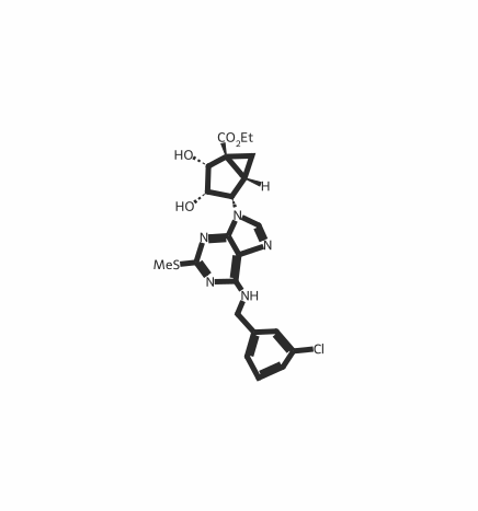 CCOC(=O)[C@@]12C[C@@H]1[C@H](n1cnc3c(NCc4cccc(Cl)c4)nc(SC)nc31)[C@H](O)[C@@H]2O